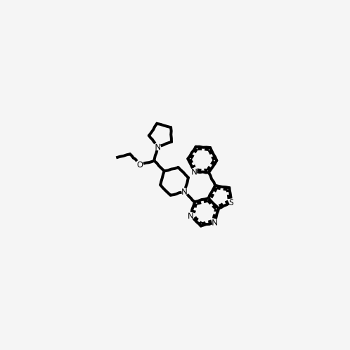 CCOC(C1CCN(c2ncnc3scc(-c4ccccn4)c23)CC1)N1CCCC1